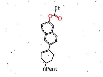 CCCCCC1CC=C(c2ccc3cc(OC(=O)CC)ccc3c2)CC1